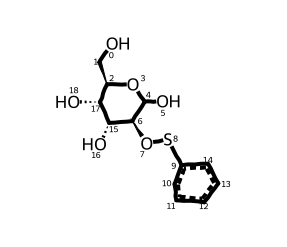 OC[C@H]1OC(O)[C@@H](OSc2ccccc2)[C@H](O)[C@@H]1O